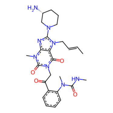 C/C=C/Cn1c(N2CCC[C@@H](N)C2)nc2c1c(=O)n(CC(=O)c1ccccc1N(C)C(=O)NC)c(=O)n2C